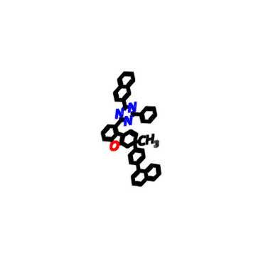 CC1(c2ccc(-c3cccc4ccccc34)cc2)C=Cc2c(oc3cccc(-c4nc(-c5ccccc5)nc(-c5ccc6ccccc6c5)n4)c23)C1